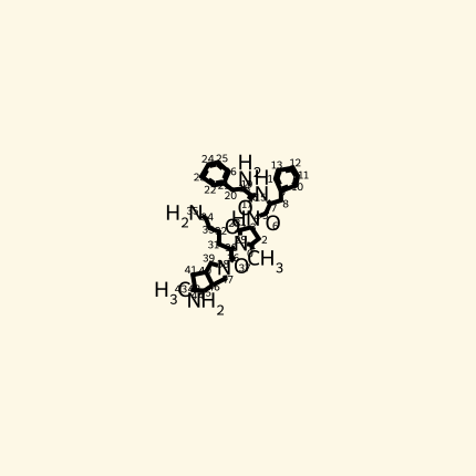 CC1CC(NC(=O)C(Cc2ccccc2)NC(=O)C(N)Cc2ccccc2)C(=O)N1C(CCCCN)C(=O)N1CC2CC(C)(N)CC2C1